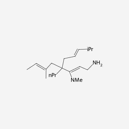 C/C=C(\C)CC(C/C=C/C(C)C)(CCC)C(=CCN)NC